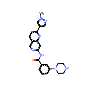 Cn1cc(-c2ccc3cnc(NC(=O)c4cccc(N5CCNCC5)c4)cc3n2)cn1